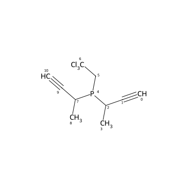 C#CC(C)P(CC(Cl)(Cl)Cl)C(C)C#C